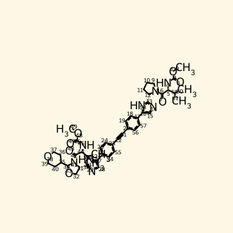 COC(=O)N[C@H](C(=O)N1CCC[C@H]1c1ncc(-c2ccc(C#Cc3ccc(-c4cnc([C@@H]5COC(C6CCOCC6)N5C(=O)[C@@H](NC(=O)OC)C(C)C)[nH]4)cc3)cc2)[nH]1)C(C)C